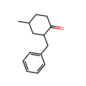 CC1CCC(=O)C(Cc2ccccc2)C1